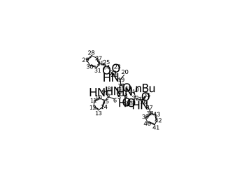 CCCC[C@H](NC(=O)[C@H](Cc1c[nH]c2ccccc12)NC(=O)C(C)NC(=O)OCc1ccccc1)[C@H](O)C(=O)NCc1ccccc1